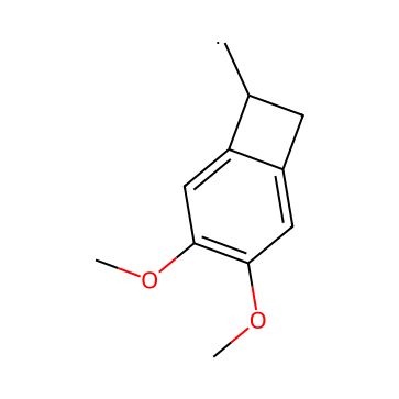 [CH2]C1Cc2cc(OC)c(OC)cc21